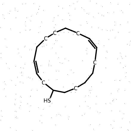 SC1CC=CCCCCCC=CCCCCC1